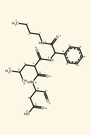 CCCCNC(=O)C(NC(=O)C(CC(C)C)C(=O)NC(C=O)CC(=O)O)c1ccccc1